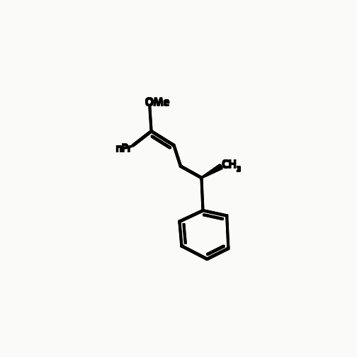 CCC/C(=C\C[C@@H](C)c1ccccc1)OC